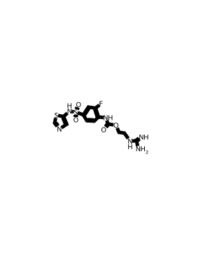 N=C(N)NCCOC(=O)Nc1ccc(S(=O)(=O)Nc2cncs2)cc1F